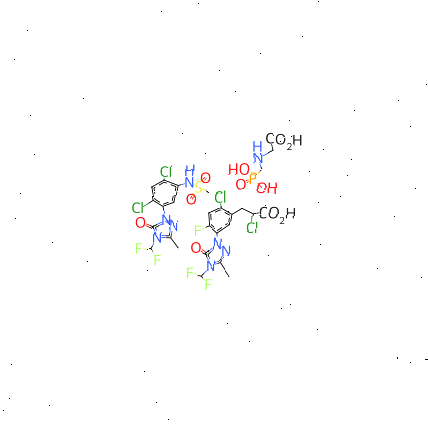 Cc1nn(-c2cc(CC(Cl)C(=O)O)c(Cl)cc2F)c(=O)n1C(F)F.Cc1nn(-c2cc(NS(C)(=O)=O)c(Cl)cc2Cl)c(=O)n1C(F)F.O=C(O)CNCP(=O)(O)O